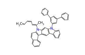 C=C/C=C\C=C(/C)n1c2cc3c(cc2c2c4ccccc4ccc21)c1ccccc1n3-c1cc(-c2ccccc2)cc(-c2ccccc2)c1